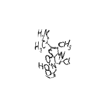 Cc1c(C(C)CN)sc2c(N(Cc3ccco3)C(=O)O)cc(Cl)nc12